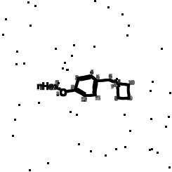 CCCCCCOc1ccc(CN2CCC2)cc1